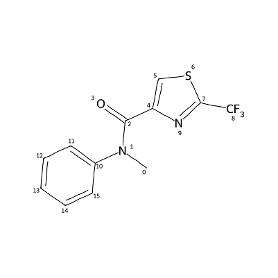 CN(C(=O)c1csc(C(F)(F)F)n1)c1ccccc1